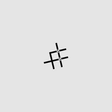 CC1(C)C[Si](C)(C)[Si]1(C)C